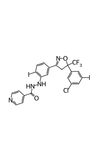 O=C(NNc1cc(C2=NOC(c3cc(Cl)cc(I)c3)(C(F)(F)F)C2)ccc1I)c1ccncc1